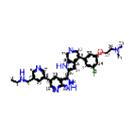 CCNCc1cncc(-c2cnc3[nH]nc(-c4cc5c(-c6cc(F)cc(OCCN(C)C)c6)cncc5[nH]4)c3c2)c1